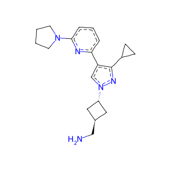 NC[C@H]1C[C@H](n2cc(-c3cccc(N4CCCC4)n3)c(C3CC3)n2)C1